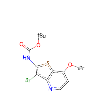 CC(C)Oc1ccnc2c(Br)c(NC(=O)OC(C)(C)C)sc12